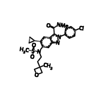 CNC(=O)c1c2cc(C3CC3)c(N(CCC3(C)COC3)S(C)(=O)=O)cc2nn1-c1ccc(Cl)cc1